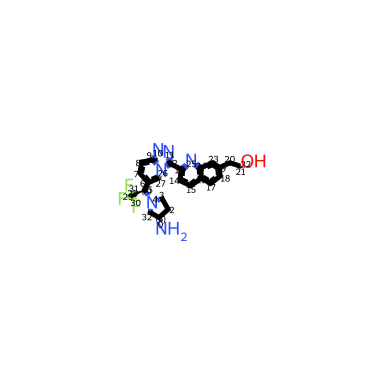 N[C@H]1CCN([C@H](c2ccc3nnc(-c4ccc5ccc(CCO)cc5n4)n3c2)C(F)(F)F)C1